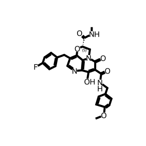 CNC(=O)[C@@H]1Cn2c(=O)c(C(=O)NCc3ccc(OC)cc3)c(O)c3ncc(Cc4ccc(F)cc4)c(c32)O1